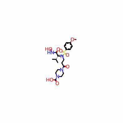 COc1ccc(S(=O)(=O)N(CCC(=O)N2CCN(C(=O)O)CC2)[C@@H](C(=O)NO)C(C)C)cc1